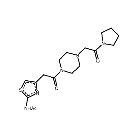 CC(=O)Nc1nc(CC(=O)N2CCN(CC(=O)N3CCCC3)CC2)cs1